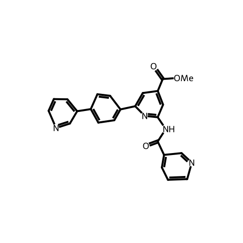 COC(=O)c1cc(NC(=O)c2cccnc2)nc(-c2ccc(-c3cccnc3)cc2)c1